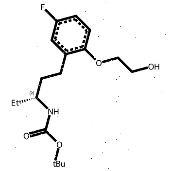 CC[C@H](CCc1cc(F)ccc1OCCO)NC(=O)OC(C)(C)C